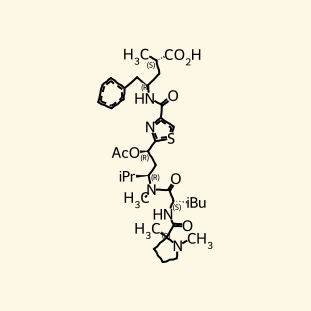 CCC(C)[C@H](NC(=O)[C@@]1(C)CCCN1C)C(=O)N(C)[C@H](C[C@@H](OC(C)=O)c1nc(C(=O)N[C@@H](Cc2ccccc2)C[C@H](C)C(=O)O)cs1)C(C)C